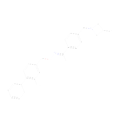 CC(=O)C1CN(Cc2ccc(/C(C)=N/OCc3ccc(C4C=CC=CC4)c(C(F)(F)F)c3)cc2)C1